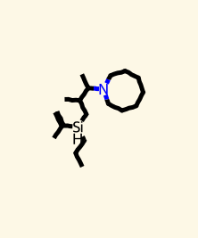 C=C(C)[SiH](CCC)CC(C)C(C)N1CCCCCCC1